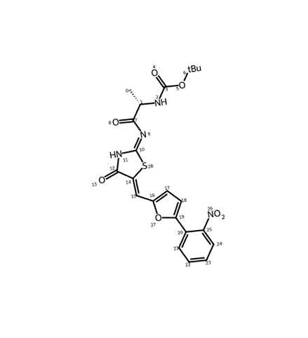 C[C@H](NC(=O)OC(C)(C)C)C(=O)/N=C1\NC(=O)/C(=C/c2ccc(-c3ccccc3[N+](=O)[O-])o2)S1